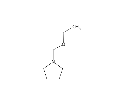 CCO[CH]N1CCCC1